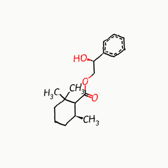 C[C@H]1CCCC(C)(C)C1C(=O)OC[C@@H](O)c1ccccc1